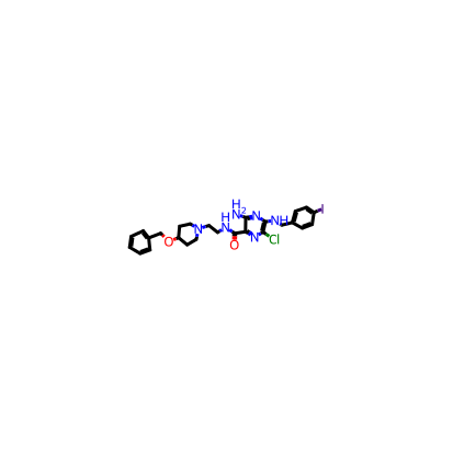 Nc1nc(NCc2ccc(I)cc2)c(Cl)nc1C(=O)NCCN1CCC(OCc2ccccc2)CC1